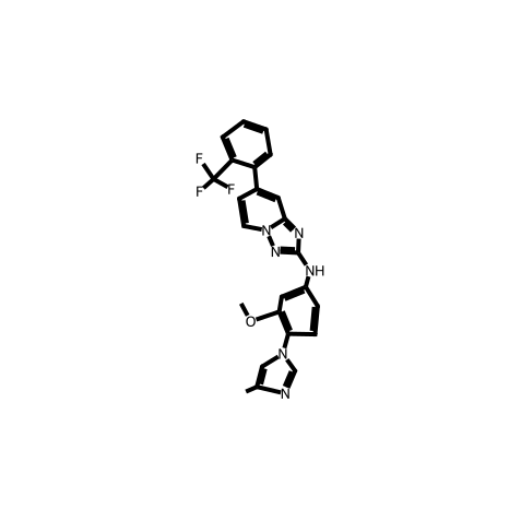 COc1cc(Nc2nc3cc(-c4ccccc4C(F)(F)F)ccn3n2)ccc1-n1cnc(C)c1